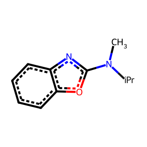 CC(C)N(C)c1nc2ccccc2o1